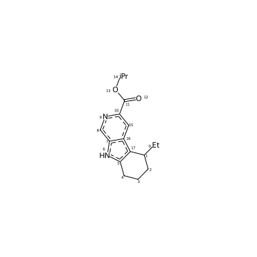 CCC1CCCc2[nH]c3cnc(C(=O)OC(C)C)cc3c21